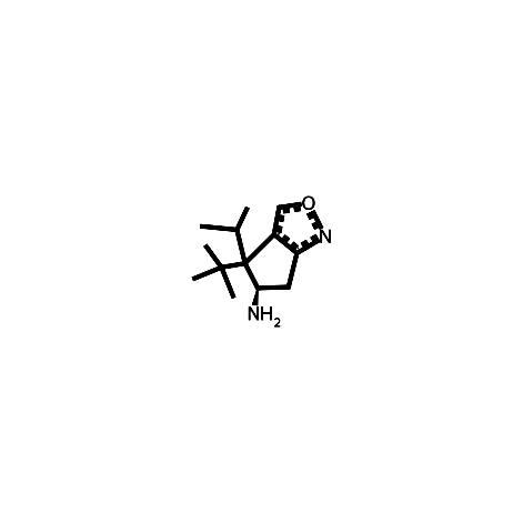 CC(C)C1(C(C)(C)C)c2conc2C[C@H]1N